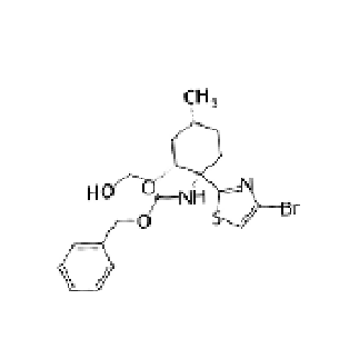 C[C@@H]1CC[C@@](NC(=O)OCc2ccccc2)(c2nc(Br)cs2)[C@H](CCO)C1